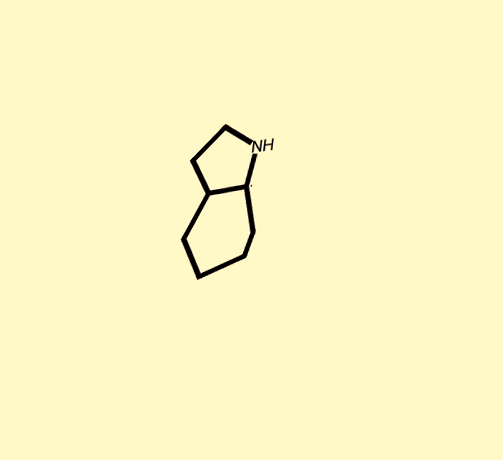 C1CCC2CCN[C]2C1